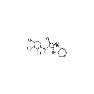 O=c1c(Nc2ccccc2Br)c(Nc2ccc(Cl)c(S)c2O)c1=O